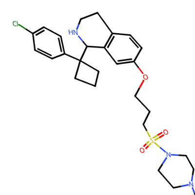 O=C(O)N1CCN(S(=O)(=O)CCCOc2ccc3c(c2)C(C2(c4ccc(Cl)cc4)CCC2)NCC3)CC1